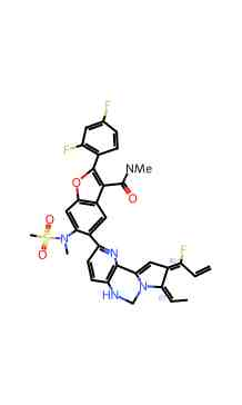 C=C/C(F)=c1/cc2n(/c1=C/C)CNc1ccc(-c3cc4c(C(=O)NC)c(-c5ccc(F)cc5F)oc4cc3N(C)S(C)(=O)=O)nc1-2